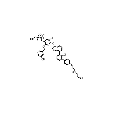 C[C@@](CO)(NCc1cc(Cl)c(O[C@H]2CCc3c(-c4cccc(-c5ccc(OCCNCCO)cc5)c4Cl)cccc32)nc1OCc1cncc(C#N)c1)C(=O)O